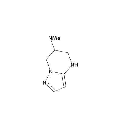 CNC1CNc2ccnn2C1